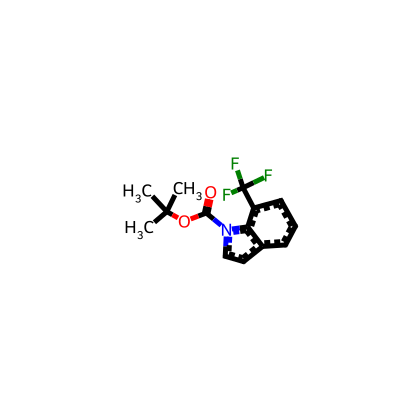 CC(C)(C)OC(=O)n1ccc2cccc(C(F)(F)F)c21